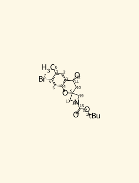 Cc1cc2c(cc1Br)OC1(CC2=O)CN(C(=O)OC(C)(C)C)C1